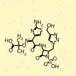 CC(C)(O/N=C(\C(=O)NC1C(=O)N(S(=O)(=O)O)C1Cn1cc(CO)nn1)c1csc(N)n1)C(=O)O